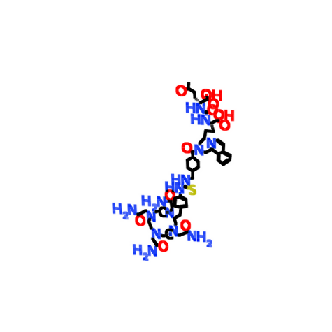 CC(=O)CC[C@@H](NC(=O)N[C@H](CCCCN(Cc1nccc2ccccc12)C(=O)C1CCC(CNC(=S)Nc2ccc(CC3CN(CC(N)=O)CCN(CC(N)=O)CCN(CC(N)=O)CCN3CC(N)=O)cc2)CC1)C(=O)O)C(=O)O